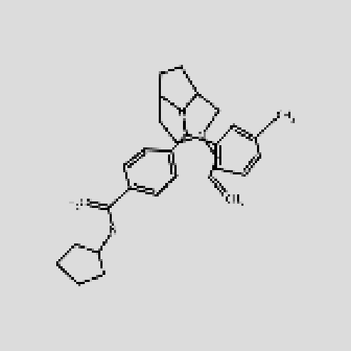 C=CCN1CCC2CCC(C1)N2C(c1ccc(C(=C)NC2CCCC2)cc1)c1cccc(C)c1